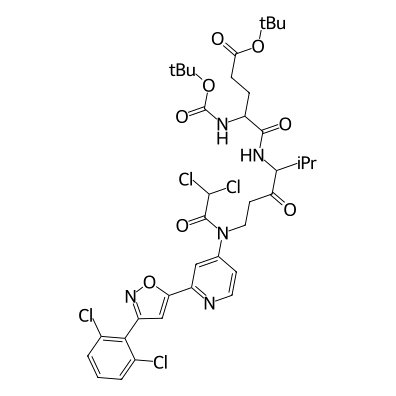 CC(C)C(NC(=O)C(CCC(=O)OC(C)(C)C)NC(=O)OC(C)(C)C)C(=O)CCN(C(=O)C(Cl)Cl)c1ccnc(-c2cc(-c3c(Cl)cccc3Cl)no2)c1